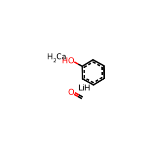 C=O.Oc1ccccc1.[CaH2].[LiH]